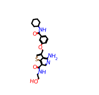 Nc1ncc(C(=O)NCCO)c2scc(COc3cccc(C(=O)NC4CCCCC4)c3)c12